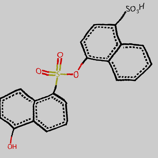 O=S(=O)(O)c1ccc(OS(=O)(=O)c2cccc3c(O)cccc23)c2ccccc12